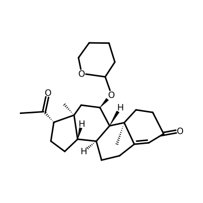 CC(=O)[C@H]1CC[C@H]2[C@@H]3CCC4=CC(=O)CC[C@]4(C)[C@H]3[C@H](OC3CCCCO3)C[C@]12C